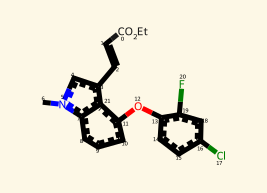 CCOC(=O)C=Cc1cn(C)c2cccc(Oc3ccc(Cl)cc3F)c12